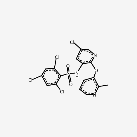 Cc1ncccc1Oc1ncc(Cl)cc1NS(=O)(=O)c1c(Cl)cc(Cl)cc1Cl